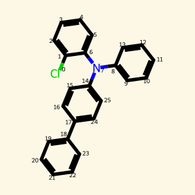 Clc1ccccc1N(c1ccccc1)c1ccc(-c2ccccc2)cc1